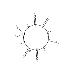 C[PH]1(F)OC(=O)C(=O)OC(F)OC(=O)C(=O)O1